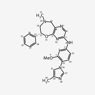 COc1cc(Nc2cnc3c(n2)O[C@H](c2ccccc2)CN(C)C3)ccc1-n1cnc(C)c1